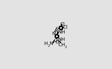 C=CC(=O)Nc1cc2c(Nc3cc(Cl)c(Cl)cc3F)ncnc2cc1OCCN